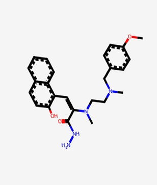 COc1ccc(CN(C)CCN(C)C(=Cc2c(O)ccc3ccccc23)C(=O)NN)cc1